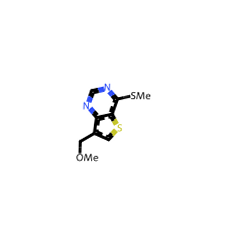 COCc1csc2c(SC)ncnc12